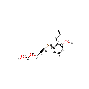 C=CCc1c(OC)cccc1SC#CCOCOC